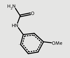 COc1cc[c]c(NC(N)=O)c1